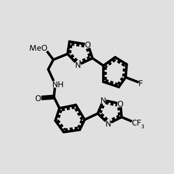 COC(CNC(=O)c1cccc(-c2noc(C(F)(F)F)n2)c1)c1coc(-c2ccc(F)cc2)n1